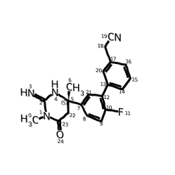 CN1C(=N)N[C@](C)(c2ccc(F)c(-c3cccc(CC#N)c3)c2)CC1=O